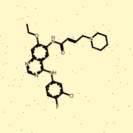 CCOc1cc2ncnc(Nc3ccc(F)c(Cl)c3)c2cc1NC(=O)/C=C/CN1CCCCC1